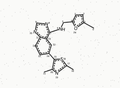 Cc1ccc(CNc2ncnc3ccc(-c4sc(C)nc4C)cc23)o1